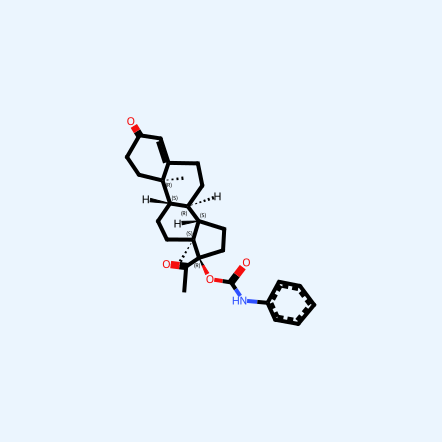 CC(=O)[C@@]1(OC(=O)Nc2ccccc2)CC[C@H]2[C@@H]3CCC4=CC(=O)CC[C@]4(C)[C@H]3CC[C@@]21C